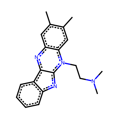 Cc1cc2nc3c4ccccc4nc-3n(CCN(C)C)c2cc1C